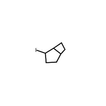 IC1CCC2CCC12